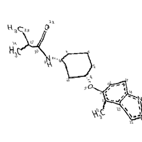 Cc1c(O[C@H]2CCC[C@@H](NC(=O)C(C)C)C2)ccc2[nH]ncc12